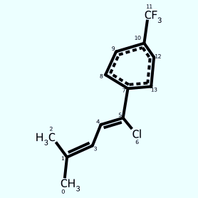 CC(C)=CC=C(Cl)c1ccc(C(F)(F)F)cc1